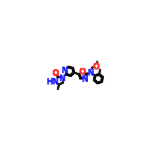 COCN(c1ncc(-c2ccnc(N3CC(C)NC3=O)c2)o1)c1ccccc1C